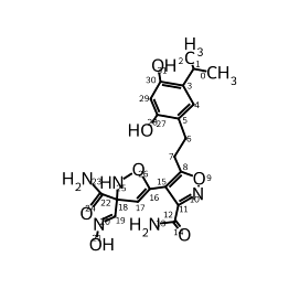 CC(C)c1cc(CCc2onc(C(N)=O)c2C2=CC(C=NO)(C(N)=O)NO2)c(O)cc1O